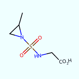 CC1CN1S(=O)(=O)NCC(=O)O